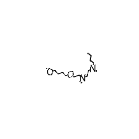 CCCCN(C)CCN(C)CCOCCCCOC